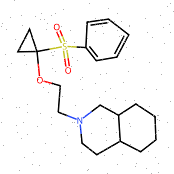 O=S(=O)(c1ccccc1)C1(OCCN2CCC3CCCCC3C2)CC1